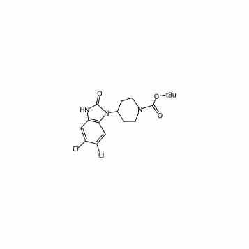 CC(C)(C)OC(=O)N1CCC(n2c(=O)[nH]c3cc(Cl)c(Cl)cc32)CC1